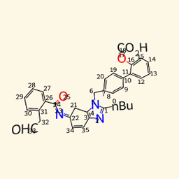 CCCCc1nc2c(n1Cc1ccc(-c3ccccc3OC(=O)O)cc1)CC(=NC(=O)c1ccccc1CC=O)C=C2